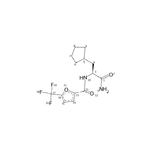 NC(=O)[C@H](CC1CCCC1)NC(=O)c1ccc(C(F)(F)F)o1